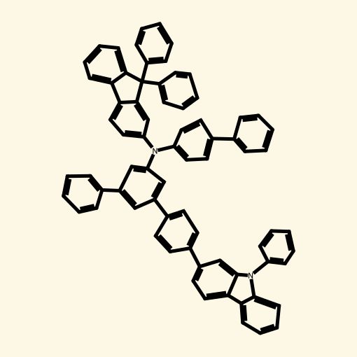 c1ccc(-c2ccc(N(c3cc(-c4ccccc4)cc(-c4ccc(-c5ccc6c7ccccc7n(-c7ccccc7)c6c5)cc4)c3)c3ccc4c(c3)C(c3ccccc3)(c3ccccc3)c3ccccc3-4)cc2)cc1